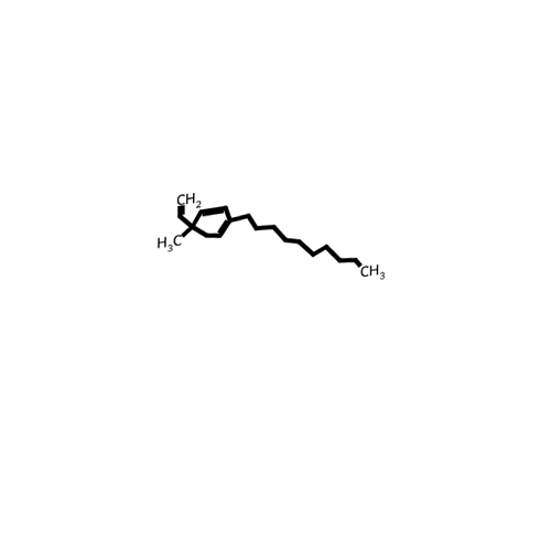 C=CC1(C)C=CC(CCCCCCCCCC)=CC1